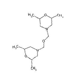 CC1CN(COCN2CC(C)OC(C)C2)CC(C)O1